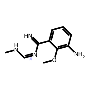 CN/C=N\C(=N)c1cccc(N)c1OC